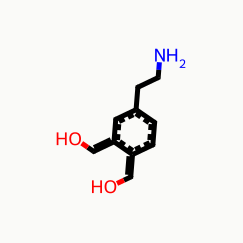 NCCc1ccc(=CO)c(=CO)c1